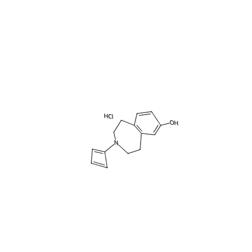 Cl.Oc1ccc2c(c1)CCN(C1=CC=C1)CC2